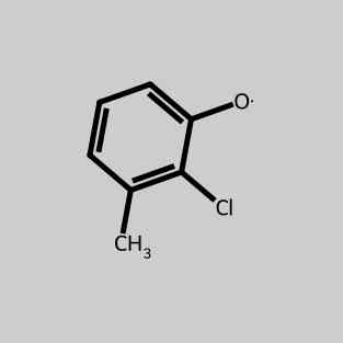 Cc1cccc([O])c1Cl